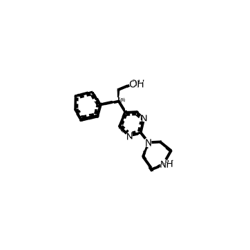 OC[C@H](c1ccccc1)c1cnc(N2CCNCC2)nc1